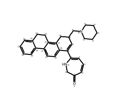 O=C1C=CC=C(C2=CC(CN3CCCCC3)Cc3c2ccc2c3CCc3ccccc3-2)NC1